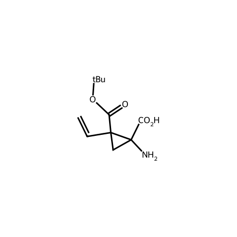 C=CC1(C(=O)OC(C)(C)C)CC1(N)C(=O)O